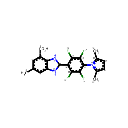 Cc1cc2c(c(C(=O)O)c1)NC(c1c(F)c(F)c(-n3c(C)ccc3C)c(F)c1F)N2